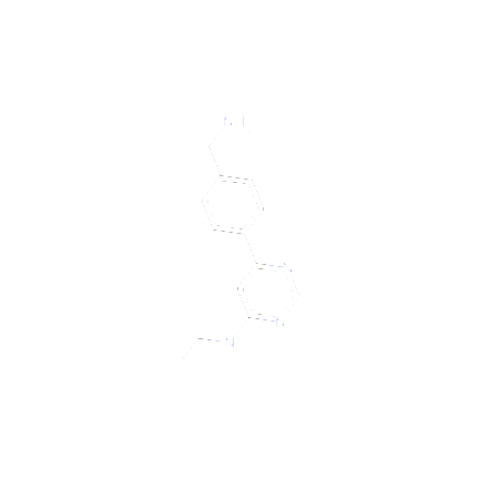 CCNc1cc(-c2ccc(CN)cc2)ncn1